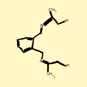 CC(CC(C)C)=NCc1ccccc1CN=C(C)CC(C)C